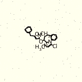 CN1C=C(Cl)N2c3ccccc3CCC(OC3C=C(Cc4ccccc4)ON3C)C12